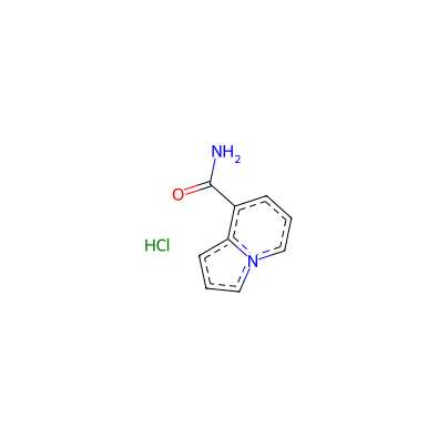 Cl.NC(=O)c1cccn2cccc12